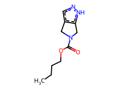 CCCCOC(=O)N1Cc2cn[nH]c2C1